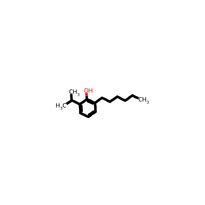 CCCCCCc1cccc(C(C)C)c1O